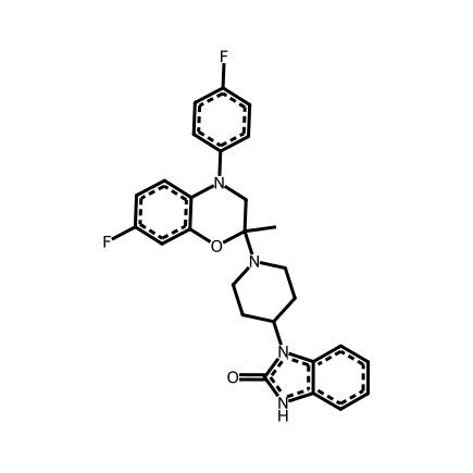 CC1(N2CCC(n3c(=O)[nH]c4ccccc43)CC2)CN(c2ccc(F)cc2)c2ccc(F)cc2O1